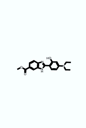 CCN(CC)c1ccc(-c2nc3ccc(C(=O)OC)cc3[nH]2)c(O)c1